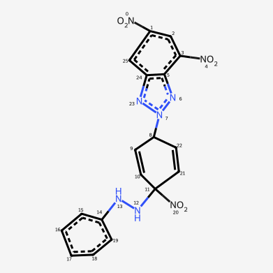 O=[N+]([O-])c1cc([N+](=O)[O-])c2nn(C3C=CC(NNc4ccccc4)([N+](=O)[O-])C=C3)nc2c1